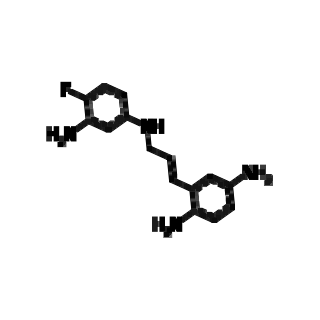 Nc1ccc(N)c(/C=C/CNc2ccc(F)c(N)c2)c1